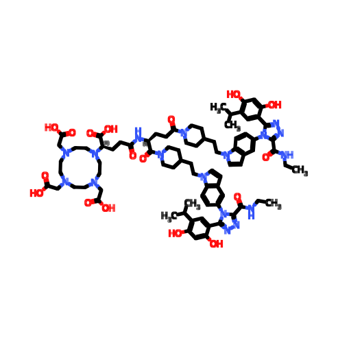 CCNC(=O)c1nnc(-c2cc(C(C)C)c(O)cc2O)n1-c1ccc2c(ccn2CCC2CCN(C(=O)CC[C@H](NC(=O)CC[C@H](C(=O)O)N3CCN(CC(=O)O)CCN(CC(=O)O)CCN(CC(=O)O)CC3)C(=O)N3CCC(CCn4ccc5cc(-n6c(C(=O)NCC)nnc6-c6cc(C(C)C)c(O)cc6O)ccc54)CC3)CC2)c1